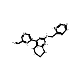 O=Cc1cncc(-c2cc(OCc3ccccn3)nc3c2CCCC3)n1